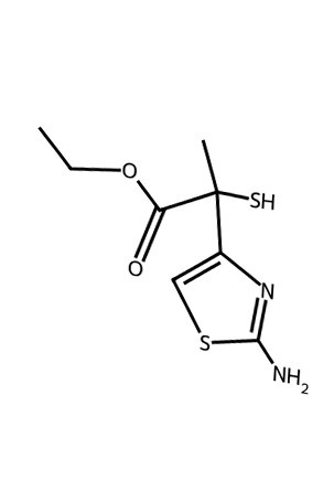 CCOC(=O)C(C)(S)c1csc(N)n1